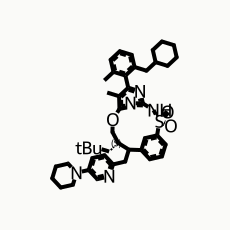 Cc1cccc(CC2CCCCC2)c1-c1nc2nc(c1C)OC[C@@H](CC(C)(C)C)C(Cc1ccc(N3CCCCC3)cn1)c1cccc(c1)S(=O)(=O)N2